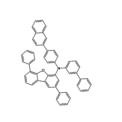 c1ccc(-c2cccc(N(c3ccc(-c4ccc5ccccc5c4)cc3)c3cc(-c4ccccc4)cc4c3oc3c(-c5ccccc5)cccc34)c2)cc1